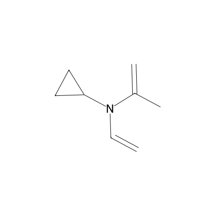 C=CN(C(=C)C)C1CC1